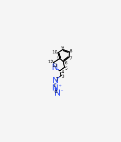 [N-]=[N+]=NC[C@@H]1Cc2ccccc2C=N1